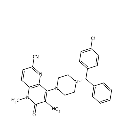 Cn1c(=O)c([N+](=O)[O-])c(N2CCN([C@@H](c3ccccc3)c3ccc(Cl)cc3)CC2)c2nc(C#N)ccc21